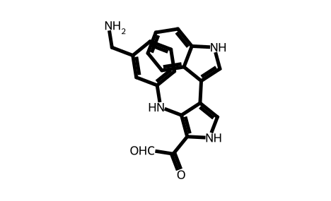 NCc1cccc(Nc2c(-c3c[nH]c4ccccc34)c[nH]c2C(=O)C=O)c1